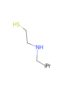 CC(C)CNCCS